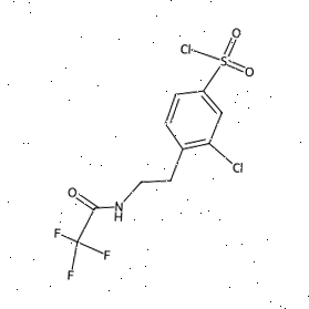 O=C(NCCc1ccc(S(=O)(=O)Cl)cc1Cl)C(F)(F)F